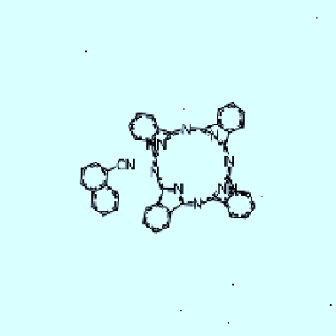 N#Cc1cccc2ccccc12.c1ccc2c(c1)-c1nc-2nc2[nH]c(nc3nc(nc4[nH]c(n1)c1ccccc41)-c1ccccc1-3)c1ccccc21